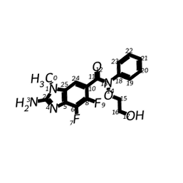 Cn1c(N)nc2c(F)c(F)c(C(=O)N(OCCO)c3ccccc3)cc21